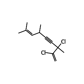 C=C(Cl)C(C)(Cl)C#CC(C)C=C(C)C